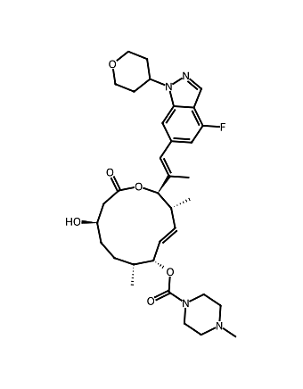 C/C(=C\c1cc(F)c2cnn(C3CCOCC3)c2c1)[C@@H]1OC(=O)C[C@H](O)CC[C@@H](C)[C@@H](OC(=O)N2CCN(C)CC2)/C=C/[C@H]1C